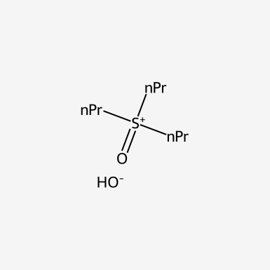 CCC[S+](=O)(CCC)CCC.[OH-]